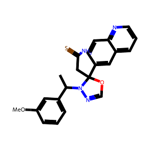 COc1cccc(C(C)N2N=COC2(CC(N)=S)c2ccc3ncccc3c2)c1